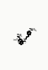 CCC[C@H](CC1(C(=O)NCCCc2ccc(OC)cc2)CCCC1)C(=O)O